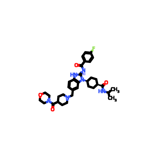 CC(C)NC(=O)[C@H]1CC[C@@H](n2/c(=N/C(=O)c3ccc(F)cc3)[nH]c3ccc(CN4CCC(C(=O)N5CCOCC5)CC4)cc32)CC1